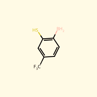 Bc1ccc(C(F)(F)F)cc1S